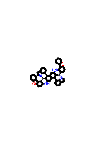 c1cc2c3c(c1)ccn3B1c3ccc4oc5ccccc5c4c3Nc3cc4c5c6c(cc4c-2c31)Nc1ccc2oc3ccccc3c2c1B6n1ccc2cccc-5c21